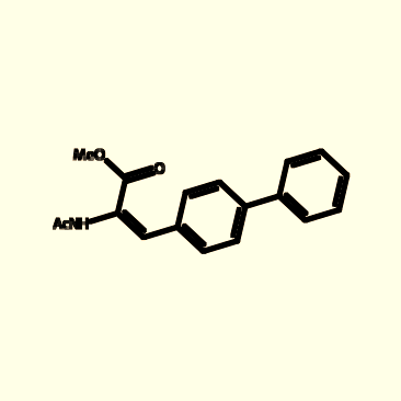 COC(=O)C(=Cc1ccc(-c2ccccc2)cc1)NC(C)=O